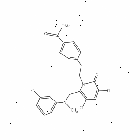 COC(=O)c1ccc(CCn2c(CN(C)c3cccc(C(C)C)c3)c(Cl)cc(Cl)c2=O)cc1